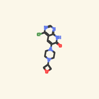 O=c1[nH]c2ncnc(Cl)c2cc1N1CCN(C2COC2)CC1